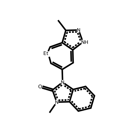 C\C=C(/C=c1/[nH]nc(C)/c1=C/CC)n1c(=O)n(C)c2ccccc21